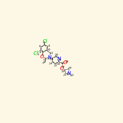 C=C1Oc2c(Cl)cc(Cl)cc2CN1c1ccc(C(=O)OC2CN(C)C2)nc1